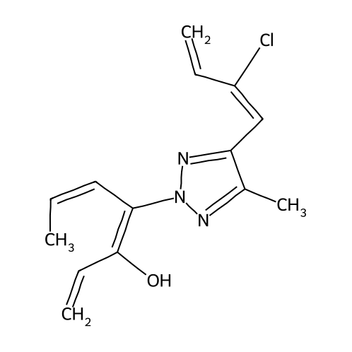 C=C/C(O)=C(\C=C/C)n1nc(C)c(/C=C(/Cl)C=C)n1